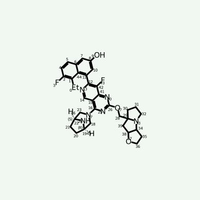 CCc1c(F)ccc2cc(O)cc(-c3ncc4c(N5C[C@H]6CC[C@@H](C5)N6)nc(OCC56CCCN5C5CCOC5C6)nc4c3F)c12